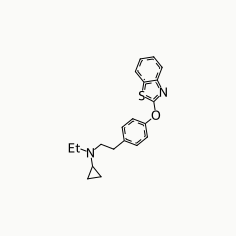 CCN(CCc1ccc(Oc2nc3ccccc3s2)cc1)C1CC1